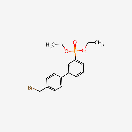 CCOP(=O)(OCC)c1cccc(-c2ccc(CBr)cc2)c1